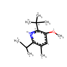 COc1cc(C)c(C(C)C)nc1C(C)(C)C